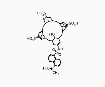 CN(C)c1cccc2c(S(=O)(=O)NC3=CC4CC5C=C(S(=O)(=O)O)C=C(CC6C=C(S(=O)(=O)O)CC(CC7=CC(S(=O)(=O)O)=CC(CC(C3)C4O)C7O)C6O)C5O)cccc12